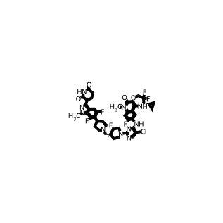 Cn1nc(C2CCC(=O)NC2=O)c2cc(F)c(C3CCN(C[C@H]4CCN(c5ncc(Cl)c(Nc6cc7c8c(c(=O)n(C)c7cc6F)OCC(F)(F)[C@H](C6CC6)N8)n5)C[C@H]4F)CC3)c(F)c21